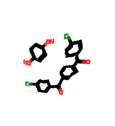 O=C(c1ccc(Cl)cc1)c1ccc(C(=O)c2ccc(Cl)cc2)cc1.Oc1ccc(O)cc1